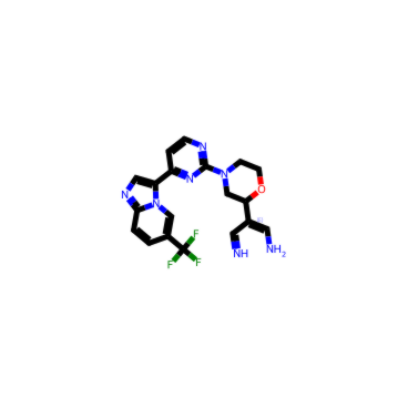 N=C/C(=C\N)C1CN(c2nccc(-c3cnc4ccc(C(F)(F)F)cn34)n2)CCO1